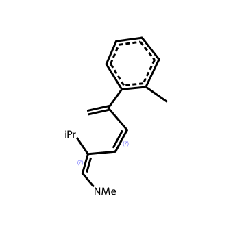 C=C(/C=C\C(=C/NC)C(C)C)c1ccccc1C